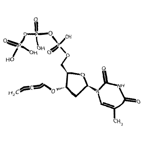 C=C=CO[C@H]1C[C@H](n2cc(C)c(=O)[nH]c2=O)O[C@@H]1COP(=O)(O)OP(=O)(O)OP(=O)(O)O